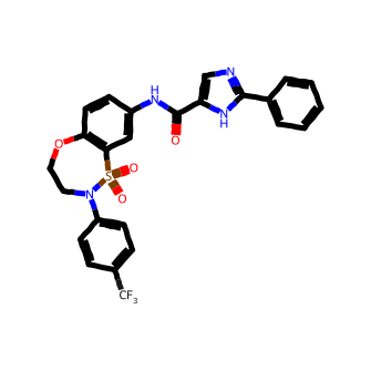 O=C(Nc1ccc2c(c1)S(=O)(=O)N(c1ccc(C(F)(F)F)cc1)CCO2)c1cnc(-c2ccccc2)[nH]1